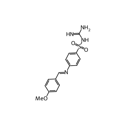 COc1ccc(/C=N/c2ccc(S(=O)(=O)NC(=N)N)cc2)cc1